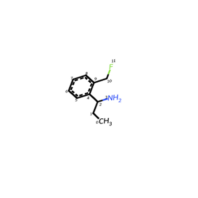 CCC(N)c1ccccc1CF